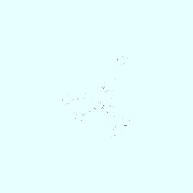 CC(CCC(=O)OCc1ccccc1)NC(=O)CCC(NC(=O)OCC1c2ccccc2-c2ccccc21)C(=O)NC(CCC(=O)OCc1ccccc1)C(=O)OCc1ccccc1